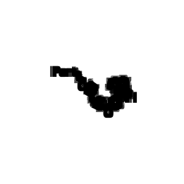 CCCC(C)CCCOc1cccc(CN2CCN(C(=O)c3ccc(NS(=O)(=O)c4cccc5cccnc45)cc3)CC2)c1